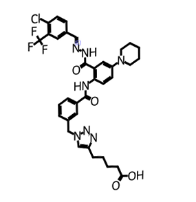 O=C(O)CCCCc1cn(Cc2cccc(C(=O)Nc3ccc(N4CCCCC4)cc3C(=O)N/N=C/c3ccc(Cl)c(C(F)(F)F)c3)c2)nn1